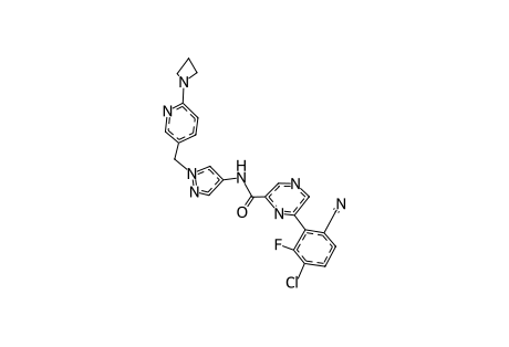 N#Cc1ccc(Cl)c(F)c1-c1cncc(C(=O)Nc2cnn(Cc3ccc(N4CCC4)nc3)c2)n1